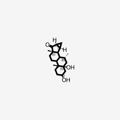 C[C@@H]1C[C@]2(O)C[C@@H](O)CC[C@]2(C)C2CC[C@]3(C)C(=O)[C@H]4C[C@H]4C3C21